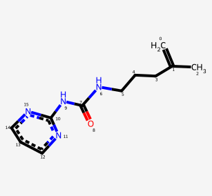 C=C(C)CCCNC(=O)Nc1ncccn1